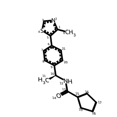 Cc1ncsc1-c1ccc([C@H](C)NC(=O)C2CCCC2)cc1